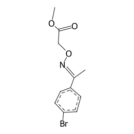 COC(=O)CON=C(C)c1ccc(Br)cc1